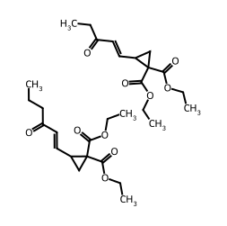 CCCC(=O)C=CC1CC1(C(=O)OCC)C(=O)OCC.CCOC(=O)C1(C(=O)OCC)CC1C=CC(=O)CC